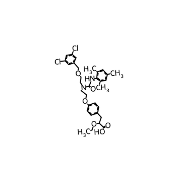 CCOC(Cc1ccc(OCCN(CCOCc2cc(Cl)cc(Cl)c2)C(=O)Nc2c(C)cc(C)cc2C)cc1)C(=O)O